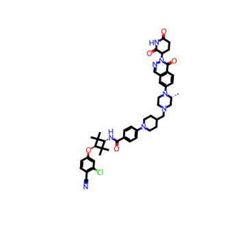 C[C@@H]1CN(CC2CCN(c3ccc(C(=O)N[C@H]4C(C)(C)[C@H](Oc5ccc(C#N)c(Cl)c5)C4(C)C)cc3)CC2)CCN1c1ccc2c(=O)n(C3CCC(=O)NC3=O)ncc2c1